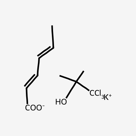 C/C=C/C=C/C(=O)[O-].CC(C)(O)C(Cl)(Cl)Cl.[K+]